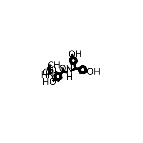 CCS(=O)(=O)Nc1cc(C(O)CNCC(c2ccc(O)cc2)c2ccc(O)cc2)ccc1O